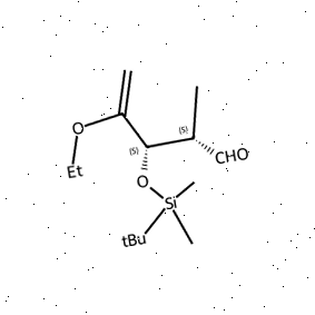 C=C(OCC)[C@@H](O[Si](C)(C)C(C)(C)C)[C@H](C)C=O